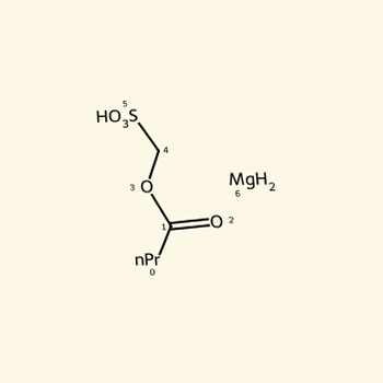 CCCC(=O)OCS(=O)(=O)O.[MgH2]